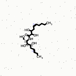 CC/C=C/C[C@@H](O)[C@@H](O)[C@H](CO)NC(=O)C(O)C(O)C/C=C\CCCC